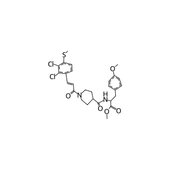 COC(=O)C(Cc1ccc(OC)cc1)NC(=O)C1CCN(C(=O)C=Cc2ccc(SC)c(Cl)c2Cl)CC1